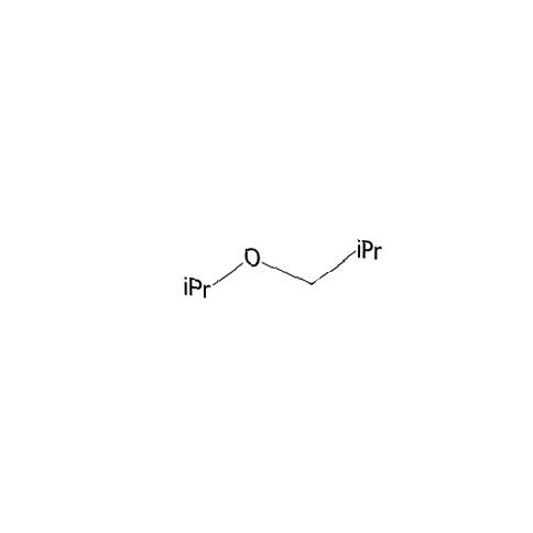 [CH2]C(C)OCC(C)C